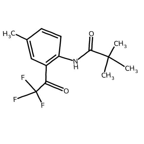 Cc1ccc(NC(=O)C(C)(C)C)c(C(=O)C(F)(F)F)c1